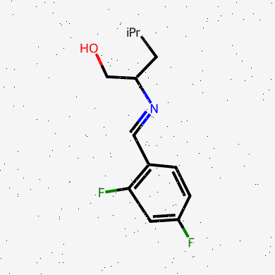 CC(C)CC(CO)N=Cc1ccc(F)cc1F